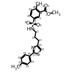 COC(=O)c1cc(S(=O)(=O)NCCCc2csc(-c3ccc(C)cc3)n2)ccc1C